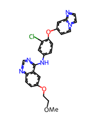 COCCOc1ccc2ncnc(Nc3ccc(Oc4ccn5ccnc5c4)c(Cl)c3)c2c1